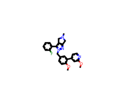 COc1cc(-c2cc(Cn3nc4c(c3-c3ccccc3F)CN(C)C4)ccc2OC)ccn1